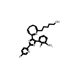 Nc1cccc(-c2nc(-c3ccc(F)cn3)sc2C2=N/C(CCCCCO)=C\CC/C=C\2)c1F